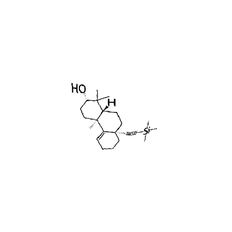 CC1(C)[C@@H](O)CC[C@]2(C)C3=CCCC[C@]3(C#C[Si](C)(C)C)CC[C@@H]12